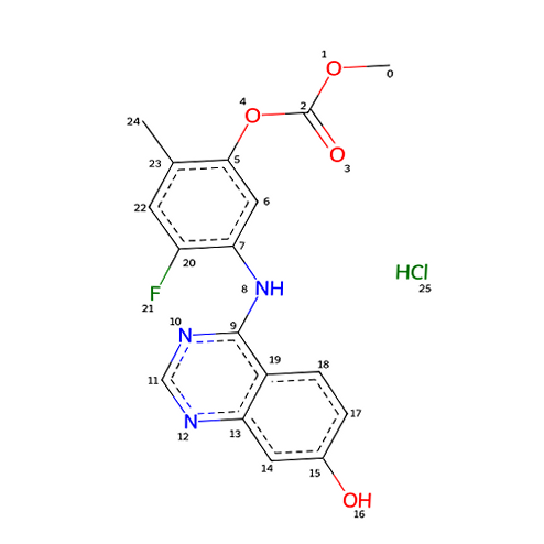 COC(=O)Oc1cc(Nc2ncnc3cc(O)ccc23)c(F)cc1C.Cl